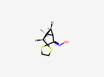 C[C@]12C3/C(=N\O)C4(SCCS4)[C@H]1[C@@H]32